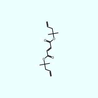 C=CCC(C)(C)OC(=O)/C=C/C(=O)OC(C)(C)CC=C